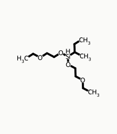 CCOCCO[SiH](OCCOCC)C(C)CC